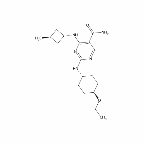 CCO[C@H]1CC[C@H](Nc2ncc(C(N)=O)c(N[C@H]3C[C@H](C)C3)n2)CC1